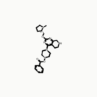 CN1CCC[C@H]1COc1nc2c(c(N3CCN(OC(=O)c4ccccc4)CC3)n1)CCNC2